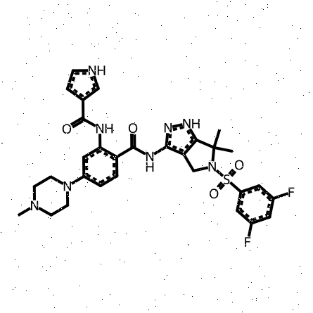 CN1CCN(c2ccc(C(=O)Nc3n[nH]c4c3CN(S(=O)(=O)c3cc(F)cc(F)c3)C4(C)C)c(NC(=O)c3cc[nH]c3)c2)CC1